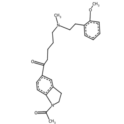 COc1ccccc1CCN(C)CCCCC(=O)c1ccc2c(c1)CCN2C(C)=O